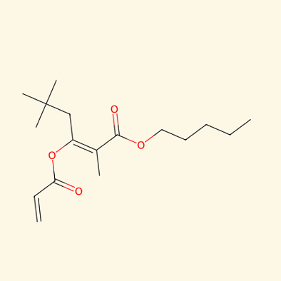 C=CC(=O)OC(CC(C)(C)C)=C(C)C(=O)OCCCCC